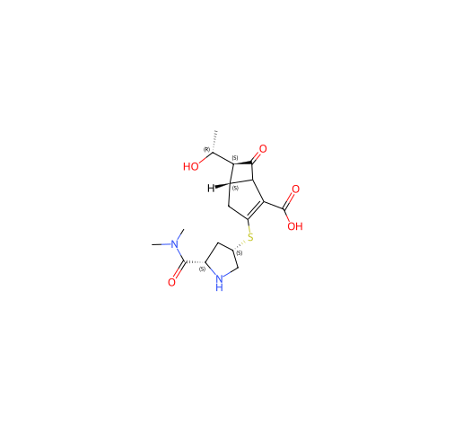 C[C@@H](O)[C@H]1C(=O)C2C(C(=O)O)=C(S[C@@H]3CN[C@H](C(=O)N(C)C)C3)C[C@@H]21